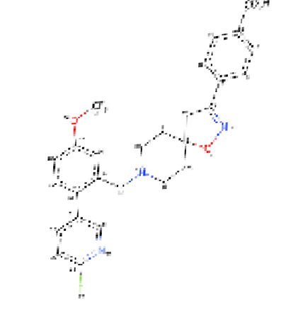 O=C(O)c1ccc(C2=NOC3(CCN(Cc4cc(OC(F)(F)F)ccc4-c4ccc(F)nc4)CC3)C2)cc1